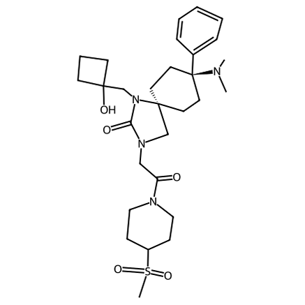 CN(C)[C@]1(c2ccccc2)CC[C@]2(CC1)CN(CC(=O)N1CCC(S(C)(=O)=O)CC1)C(=O)N2CC1(O)CCC1